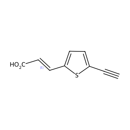 C#Cc1ccc(/C=C/C(=O)O)s1